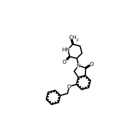 C=C1CCC(N2Cc3c(OCc4ccccc4)cccc3C2=O)C(=O)N1